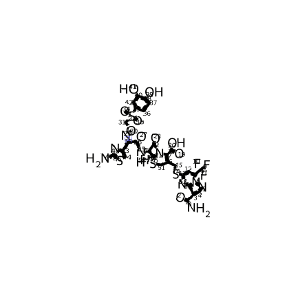 NC(=O)c1cnn2c(C(F)(F)F)cc(SCC3=C(C(=O)O)N4C(=O)[C@@H](NC(=O)/C(=N\OCS(=O)(=O)c5ccc(O)c(O)c5)c5csc(N)n5)[C@H]4SC3)nc12